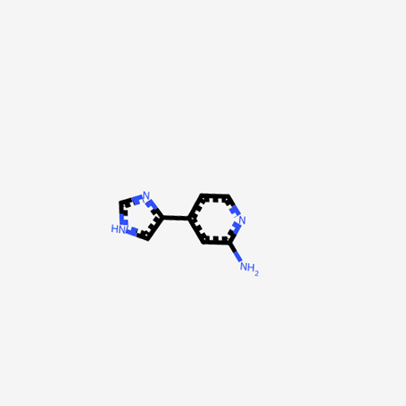 Nc1cc(-c2c[nH]cn2)ccn1